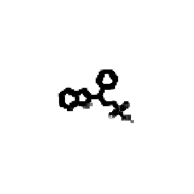 NS(=O)(=O)CCC(c1ccccc1)c1cc2cccnc2[nH]1